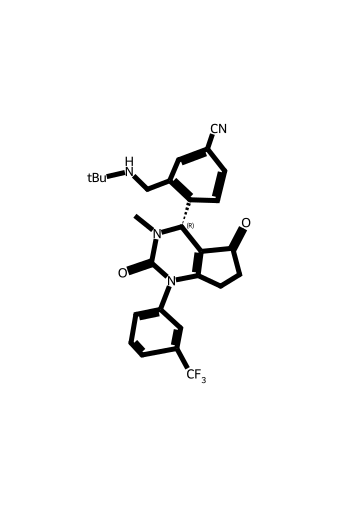 CN1C(=O)N(c2cccc(C(F)(F)F)c2)C2=C(C(=O)CC2)[C@H]1c1ccc(C#N)cc1CNC(C)(C)C